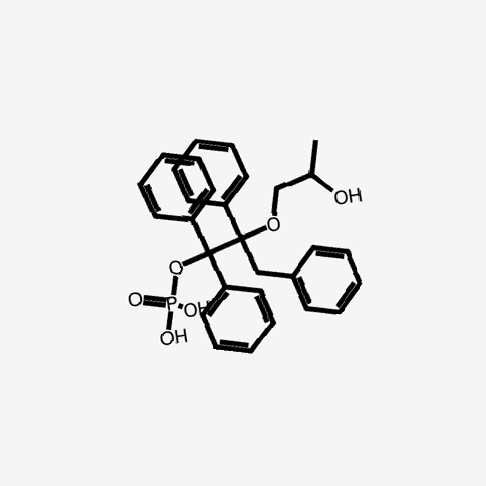 CC(O)COC(Cc1ccccc1)(c1ccccc1)C(OP(=O)(O)O)(c1ccccc1)c1ccccc1